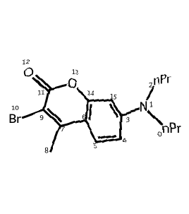 CCCN(CCC)c1ccc2c(C)c(Br)c(=O)oc2c1